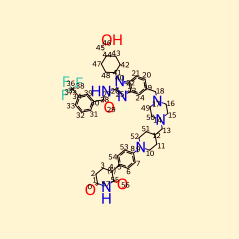 O=C1CC[C@@H](c2ccc(N3CCC(CN4CCN(Cc5ccc6c(c5)nc(NC(=O)c5cccc(C(F)(F)F)c5)n6[C@H]5CC[C@@H](CO)CC5)CC4)CC3)cc2)C(=O)N1